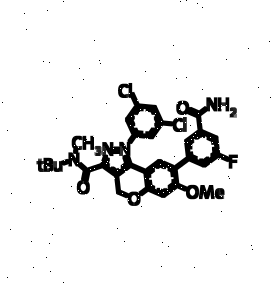 COc1cc2c(cc1-c1cc(F)cc(C(N)=O)c1)-c1c(c(C(=O)N(C)C(C)(C)C)nn1-c1cc(Cl)cc(Cl)c1)CO2